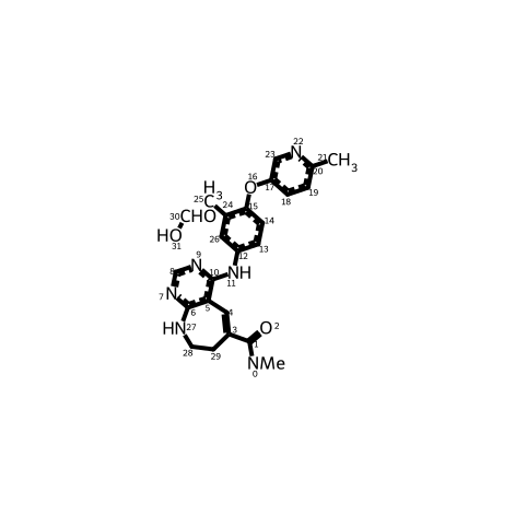 CNC(=O)C1=Cc2c(ncnc2Nc2ccc(Oc3ccc(C)nc3)c(C)c2)NCC1.O=CO